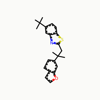 CC(C)(C)c1ccc2sc(CC(C)(C)c3ccc4ccoc4c3)nc2c1